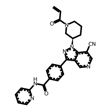 C=CC(=O)N1CCC[C@@H](n2nc(-c3ccc(C(=O)Nc4ccccn4)cc3)c3cncc(C#N)c32)C1